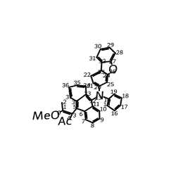 CO/C(C)=C(\C(C)=O)c1c2ccccc2c(N(c2ccccc2)c2ccc3c(c2)oc2ccccc23)c2ccccc12